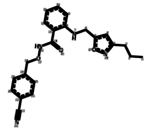 CCCc1cc(CNc2ccccc2C(=O)NOCc2ccc(C#N)cc2)on1